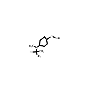 CCC(C)(C)N(C)C1CCC(OC(C)(C)C)CC1